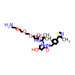 Cc1ncsc1-c1ccc(CNC(=O)[C@@H]2C[C@@H](O)CN2C[C@@H](NC(=O)CCOCCOCCOCCN)C(C)(C)C)cc1